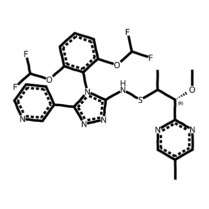 CO[C@H](c1ncc(C)cn1)C(C)SNc1nnc(-c2cccnc2)n1-c1c(OC(F)F)cccc1OC(F)F